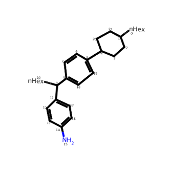 CCCCCCC1CCC(c2ccc(C(CCCCCC)c3ccc(N)cc3)cc2)CC1